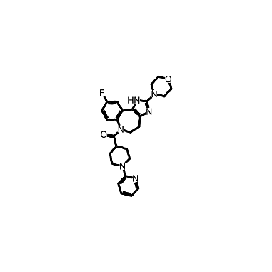 O=C(C1CCN(c2ccccn2)CC1)N1CCc2nc(N3CCOCC3)[nH]c2-c2cc(F)ccc21